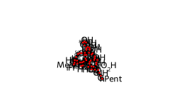 CCCCCOCCNC(=O)Oc1cc(O)c2c(c1)[C@@H](C(=O)O)NC(=O)[C@H]1NC(=O)[C@H](NC(=O)[C@@H]3NC(=O)[C@H](CC(N)=O)NC(=O)[C@H](NC(=O)[C@@H](CC(C)C)NC)[C@H](O)C4=CC(C)=C(CC4)Oc4cc3cc(c4O[C@@H]3O[C@H](CO)[C@@H](O)[C@H](O)[C@H]3O[C@H]3C[C@](C)(N)[C@H](O)[C@H](C)O3)Oc3ccc(cc3Cl)[C@H]1O)c1ccc(O)c-2c1